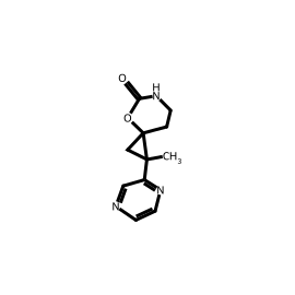 CC1(c2cnccn2)CC12CCNC(=O)O2